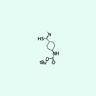 CN=C(S)C1CCC(NC(=O)OC(C)(C)C)CC1